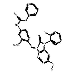 CCOc1ccc2c(c1)n(-c1ccccc1Cl)c(=O)n2Cc1ccc(NC(=O)Oc2ccccc2)cc1OC